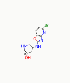 O[C@H]1CNCC(Nc2nc3nc(Br)ccc3o2)C1